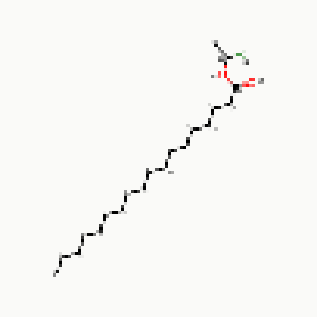 CCCCCCCCCCCCCCCCCC(=O)OC(C)Cl